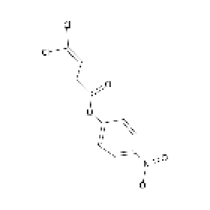 O=C(CC=C(Cl)Cl)Oc1ccc([N+](=O)[O-])cc1